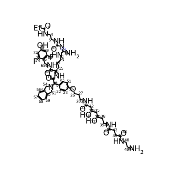 CCC(=O)NCCNC(=O)/N=C(/N)NCCC[C@@H](NC(=O)[C@H](c1ccc(OCCCNC(=O)C[C@H](O)C[C@H](O)CCNC(=O)CCC(=O)NCCN)cc1)N1Cc2ccccc2C1)C(=O)NCc1c(F)cc(O)cc1F